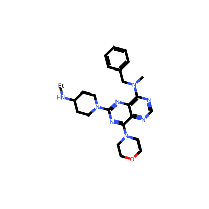 CCNC1CCN(c2nc(N3CCOCC3)c3ncnc(N(C)Cc4ccccc4)c3n2)CC1